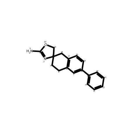 NC1=NC2(CCc3cc(-c4ccccc4)ccc3C2)CO1